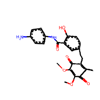 COC1=C(OC)C(=O)C(Cc2ccc(O)c(C(=O)Nc3ccc(N)cc3)c2)=C(C)C1=O